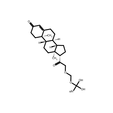 CCCC(O)(O)OCOCC(=O)[C@H]1CC[C@H]2[C@@H]3CCC4=CC(=O)CC[C@]4(C)[C@H]3CC[C@]12C